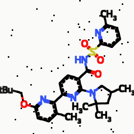 Cc1cccc(S(=O)(=O)NC(=O)c2ccc(-c3nc(OCC(C)(C)C)ccc3C)nc2N2CC(C)CC2(C)C)n1